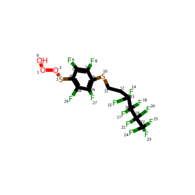 OOOSc1c(F)c(F)c(SCCC(F)(F)C(F)(F)C(F)(F)C(F)(F)F)c(F)c1F